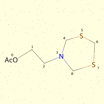 CC(=O)OCCN1CSCSC1